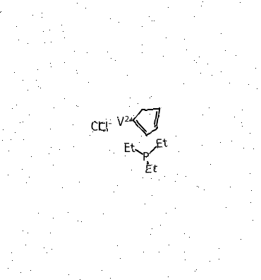 CCP(CC)CC.[Cl-].[Cl-].[V+2][C]1=CC=CC1